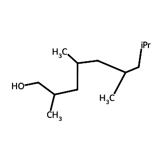 CC(C)CC(C)CC(C)CC(C)CO